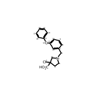 O=C(O)C1(Cl)CCN(Cc2cccc(Oc3ccccc3)c2)C1